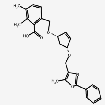 Cc1ccc(CO[C@@H]2C=C[C@H](OCc3nc(-c4ccccc4)oc3C)C2)c(C(=O)O)c1C